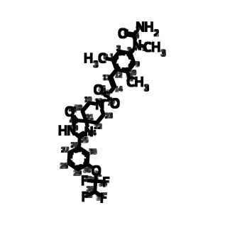 Cc1cc(N(C)C(N)=O)cc(C)c1C=CS(=O)(=O)N1CCC2(CC1)N=C(c1cccc(OC(F)(F)C(F)F)c1)NC2=O